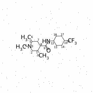 CC1CN(C)C(C)CC1C(=O)NC1CCC(C(F)(F)F)CC1